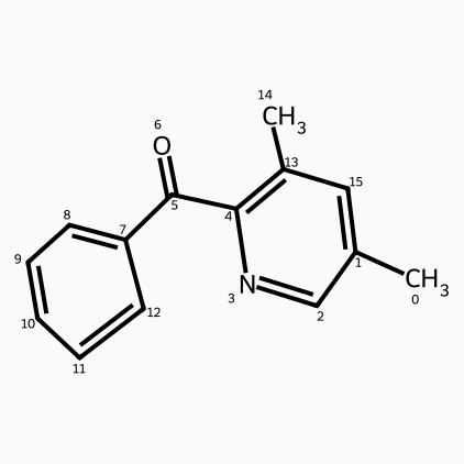 Cc1cnc(C(=O)c2ccccc2)c(C)c1